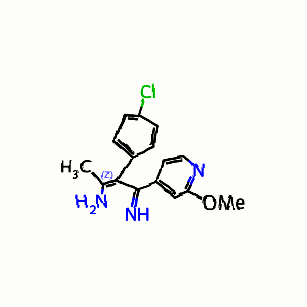 COc1cc(C(=N)/C(=C(/C)N)c2ccc(Cl)cc2)ccn1